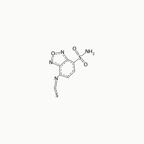 NS(=O)(=O)c1ccc(N=C=S)c2nonc12